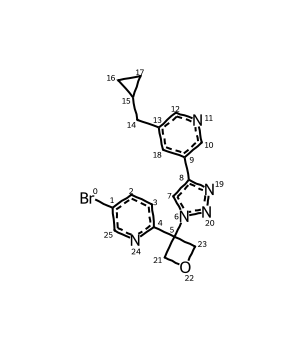 Brc1ccc(C2(n3cc(-c4cncc(CC5CC5)c4)nn3)COC2)nc1